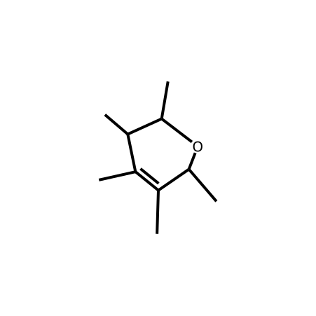 CC1=C(C)C(C)C(C)OC1C